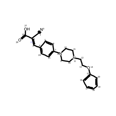 N#C/C(=C\c1ccc(N2CCN(CCOc3ccccc3)CC2)cc1)C(=O)O